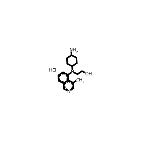 Cc1cncc2cccc(N(CCO)C3CCC(N)CC3)c12.Cl